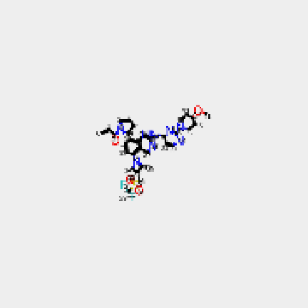 C=CC(=O)N1CCC[C@H]1c1ccc(N2C[C@H](CS(=O)(=O)C(F)(F)F)[C@H]2C)c2cnc(Nc3ccnc(N4CCC(OC)CC4)n3)cc12